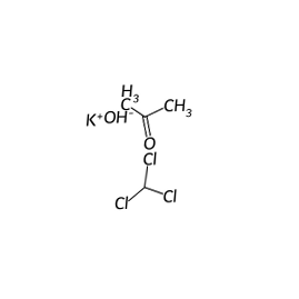 CC(C)=O.ClC(Cl)Cl.[K+].[OH-]